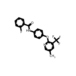 Cc1cnc(Oc2ccc(NC(=O)c3ccccc3F)cc2)c(C(F)(F)F)c1